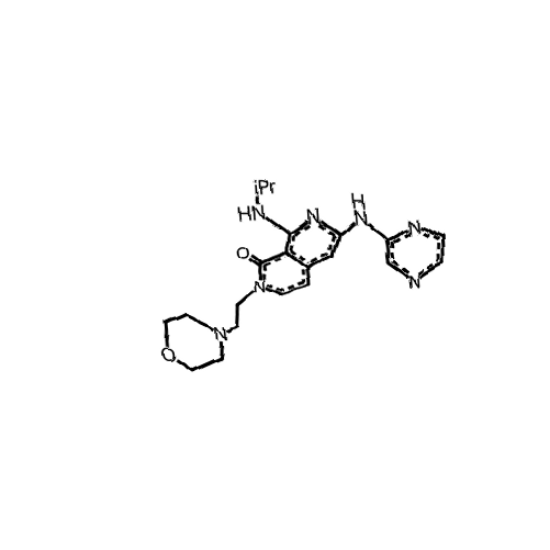 CC(C)Nc1nc(Nc2cnccn2)cc2ccn(CCN3CCOCC3)c(=O)c12